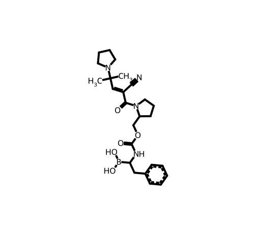 CC(C)(C=C(C#N)C(=O)N1CCCC1COC(=O)NC(Cc1ccccc1)B(O)O)N1CCCC1